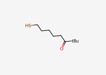 CC(C)(C)C(=O)CCCCCS